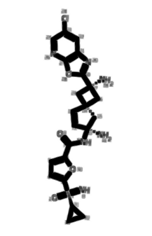 N=[S@](=O)(c1ccc(C(=O)N[C@@]2(N)C=C[C@]3(C2)C[C@](N)(c2nc4cc(Cl)cnc4o2)C3)o1)C1CC1